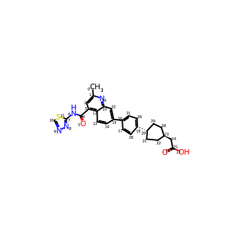 Cc1cc(C(=O)Nc2nncs2)c2ccc(-c3ccc([C@H]4CC[C@H](CC(=O)O)CC4)cc3)cc2n1